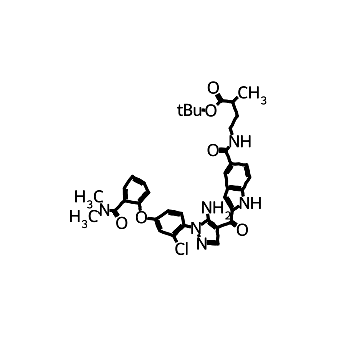 CC(CCNC(=O)c1ccc2[nH]c(C(=O)c3cnn(-c4ccc(Oc5ccccc5C(=O)N(C)C)cc4Cl)c3N)cc2c1)C(=O)OC(C)(C)C